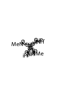 CNC(=O)CCOCC(COCCC(=O)NC)(COCCC(=O)NC(C)C)COCCC(=O)NC(C)C